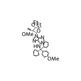 C#C[C@]1(OC)[C@H](n2cnc3c(NC(c4ccccc4)(c4ccccc4)c4ccc(OC)cc4)ncnc32)O[C@](C)(CC)[C@H]1OCC